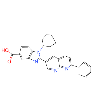 O=C(O)c1ccc2c(c1)nc(-c1cnc3nc(-c4ccccc4)ccc3c1)n2C1CCCCC1